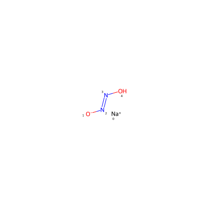 [Na+].[O-]N=NO